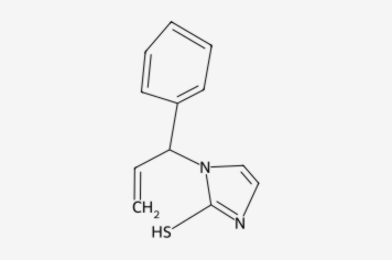 C=CC(c1ccccc1)n1ccnc1S